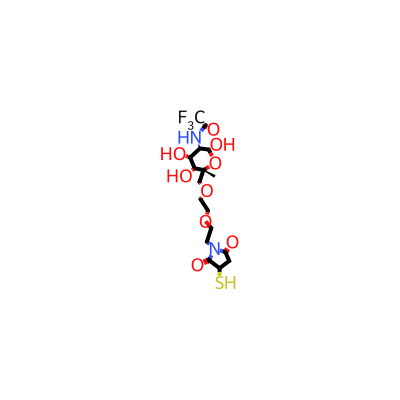 C[C@]1(COCCOCCN2C(=O)CC(S)C2=O)O[C@H](O)[C@@H](NC(=O)C(F)(F)F)C(O)C1O